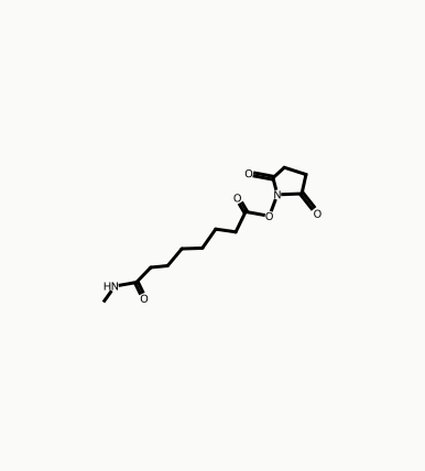 CNC(=O)CCCCCCC(=O)ON1C(=O)CCC1=O